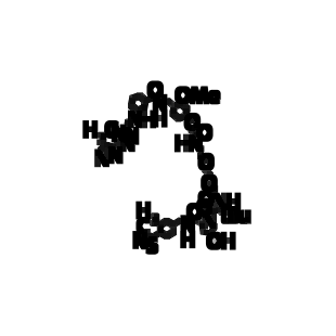 COc1cc(OCC(=O)NCCOCCOCC(=O)N[C@H](C(=O)N2C[C@H](O)C[C@H]2C(=O)NCc2ccc(-c3scnc3C)cc2)C(C)(C)C)ccc1CNC(=O)c1cccc(NCc2nnc(-c3ccncn3)n2C)c1